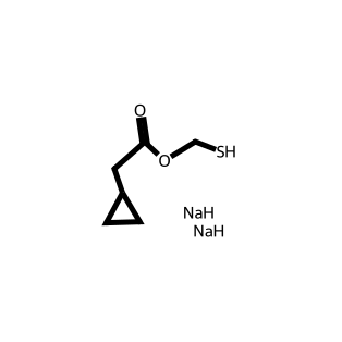 O=C(CC1CC1)OCS.[NaH].[NaH]